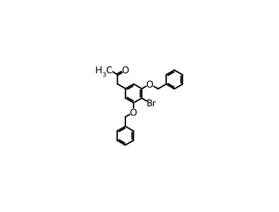 CC(=O)Cc1cc(OCc2ccccc2)c(Br)c(OCc2ccccc2)c1